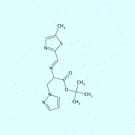 Cc1cnc(C=NC(Cn2cccn2)C(=O)OC(C)(C)C)s1